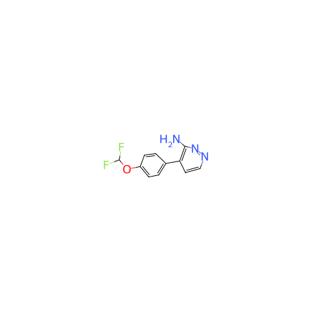 Nc1nnccc1-c1ccc(OC(F)F)cc1